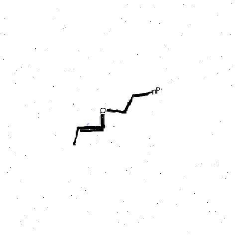 C/C=[C]/OCCCCC